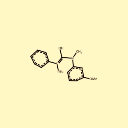 CCCCS(=C(O)N(C)c1cccc(OC)n1)c1ccccc1